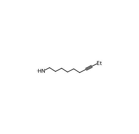 CCC#CCCCCCC[NH]